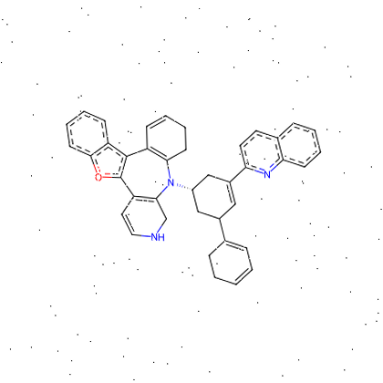 C1=CCCC(C2C=C(c3ccc4ccccc4n3)C[C@@H](N3C4=C(C=CNC4)c4oc5ccccc5c4C4=C3CCC=C4)C2)=C1